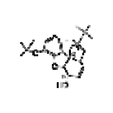 CC(C)(C)Oc1ccc2c3c1OC1[C@@H](O)C=CC4C(C2)N(C(C)(C)C)CC[C@@]341